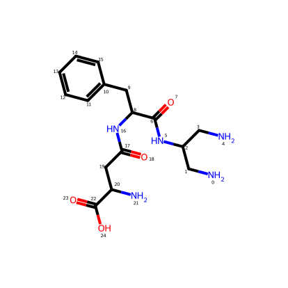 NCC(CN)NC(=O)C(Cc1ccccc1)NC(=O)CC(N)C(=O)O